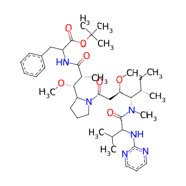 CC[C@H](C)[C@@H]([C@@H](CC(=O)N1CCCC1[C@H](OC)[C@@H](C)C(=O)NC(Cc1ccccc1)C(=O)OC(C)(C)C)OC)N(C)C(=O)C(Nc1ncccn1)C(C)C